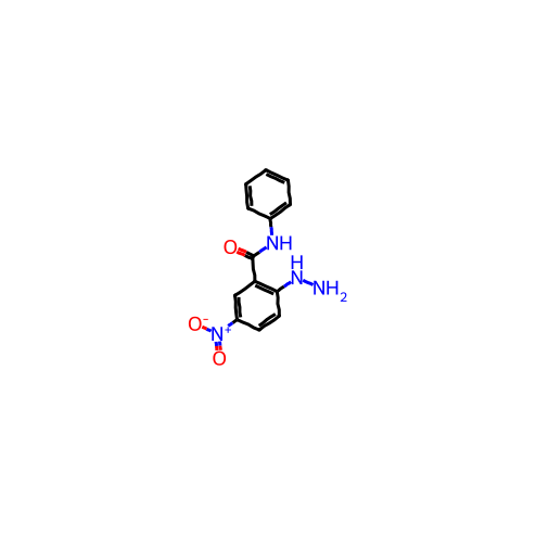 NNc1ccc([N+](=O)[O-])cc1C(=O)Nc1ccccc1